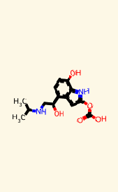 CC(C)NCC(O)c1ccc(O)c2[nH]c(OC(=O)O)cc12